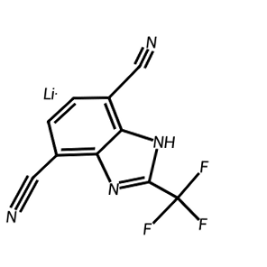 N#Cc1ccc(C#N)c2[nH]c(C(F)(F)F)nc12.[Li]